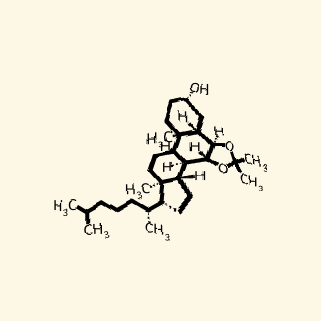 CC(C)CCC[C@@H](C)[C@H]1CC[C@H]2[C@@H]3[C@H]4OC(C)(C)O[C@@H]4[C@H]4C[C@@H](O)CC[C@]4(C)[C@H]3CC[C@]12C